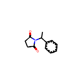 CC(c1ccccc1)N1C(=O)CCC1=O